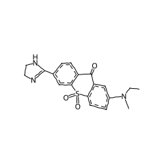 CCN(C)c1ccc2c(c1)C(=O)c1ccc(C3=NCCN3)cc1S2(=O)=O